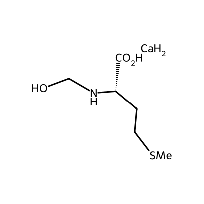 CSCC[C@H](NCO)C(=O)O.[CaH2]